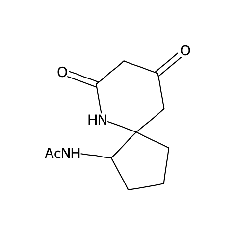 CC(=O)NC1CCCC12CC(=O)CC(=O)N2